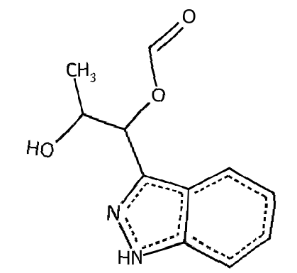 CC(O)C(OC=O)c1n[nH]c2ccccc12